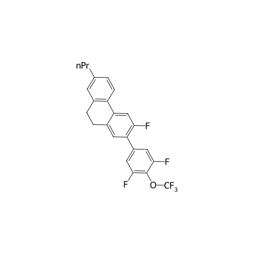 CCCc1ccc2c(c1)CCc1cc(-c3cc(F)c(OC(F)(F)F)c(F)c3)c(F)cc1-2